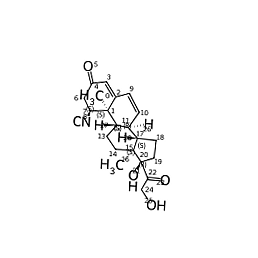 C[C@@]12C(=CC(=O)C[C@@H]1C#N)C=C[C@@H]1[C@@H]2CC[C@@]2(C)[C@H]1CC[C@]2(O)C(=O)CO